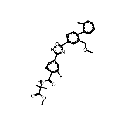 COCc1cc(-c2nc(-c3ccc(C(=O)NC(C)(C)C(=O)OC)c(F)c3)no2)ccc1-c1ccccc1C